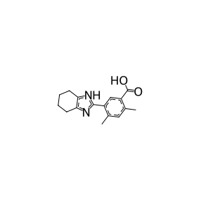 Cc1cc(C)c(-c2nc3c([nH]2)CCCC3)cc1C(=O)O